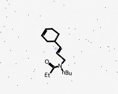 CCCCN(C/C=C/C1CC=CCC1)C(=O)CC